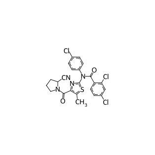 Cc1sc(N(C(=O)c2ccc(Cl)cc2Cl)c2ccc(Cl)cc2)nc1C(=O)N1CCCC1C#N